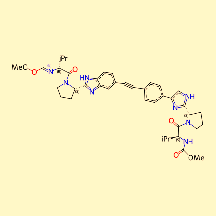 COO/C=N/[C@@H](C(=O)N1CCC[C@H]1c1nc2cc(C#Cc3ccc(-c4c[nH]c([C@@H]5CCCN5C(=O)[C@@H](NC(=O)OC)C(C)C)n4)cc3)ccc2[nH]1)C(C)C